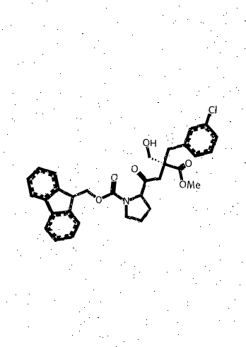 COC(=O)[C@@](CO)(CC(=O)C1CCCN1C(=O)OCC1c2ccccc2-c2ccccc21)Cc1cccc(Cl)c1